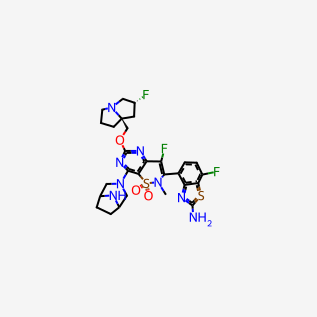 CN1C(c2ccc(F)c3sc(N)nc23)=C(F)c2nc(OC[C@@]34CCCN3C[C@H](F)C4)nc(N3CC4CCC(C3)N4)c2S1(=O)=O